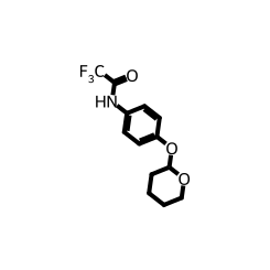 O=C(Nc1ccc(OC2CCCCO2)cc1)C(F)(F)F